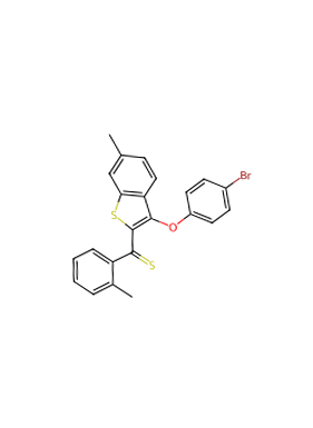 Cc1ccc2c(Oc3ccc(Br)cc3)c(C(=S)c3ccccc3C)sc2c1